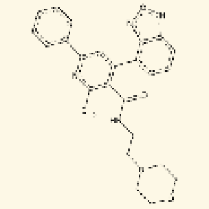 Cc1nc(-c2ccccc2)cc(-c2cccc3nonc23)c1C(=O)NCCN1CCOCC1